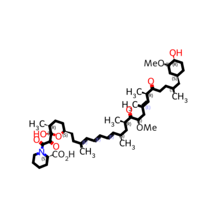 CO[C@H](C/C(C)=C/[C@@H](C)C(=O)CC[C@H](C)C[C@@H]1CC[C@@H](O)[C@H](OC)C1)C(=O)[C@H](C)C[C@H](C)/C=C/C=C/C=C(\C)CC[C@@H]1CC[C@@H](C)[C@](O)(C(=O)C(=O)N2CCCC[C@H]2C(=O)O)O1